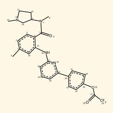 Cc1ccc(C(=O)N(C)C2CCN(C)C2)c(Nc2cncc(-c3ccc(OC(=O)C(F)(F)F)cc3)n2)c1